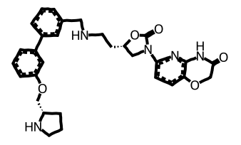 O=C1COc2ccc(N3C[C@H](CCNCc4cccc(-c5cccc(OC[C@@H]6CCCN6)c5)c4)OC3=O)nc2N1